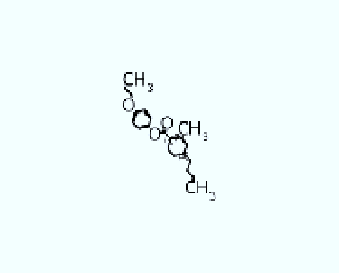 CCCC[C@H]1CC[C@@H](C(=O)Oc2ccc(OCCC)cc2)[C@H](C)C1